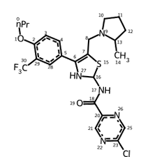 CCCOc1ccc(C2=C(CN3CCCC3C)SC(NC(=O)c3cnc(Cl)cn3)N2)cc1C(F)(F)F